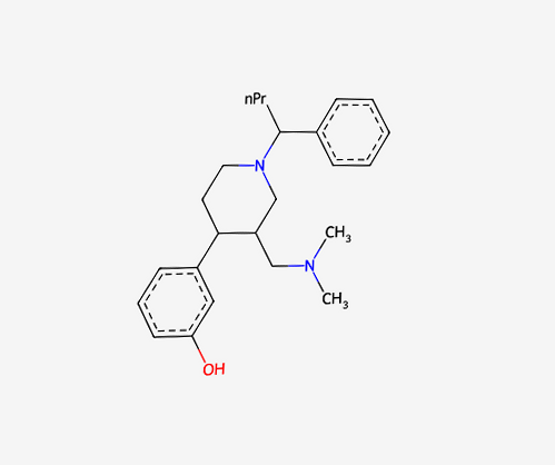 CCCC(c1ccccc1)N1CCC(c2cccc(O)c2)C(CN(C)C)C1